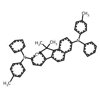 Cc1ccc(N(c2ccccc2)c2ccc3c(c2)C(C)(C)c2c-3ccc3cc(N(c4ccccc4)c4ccc(C)cc4)ccc23)cc1